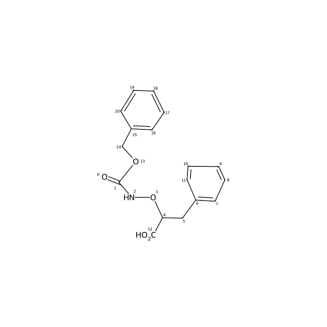 O=C(NOC(Cc1ccccc1)C(=O)O)OCc1ccccc1